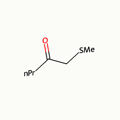 CCCC(=O)CSC